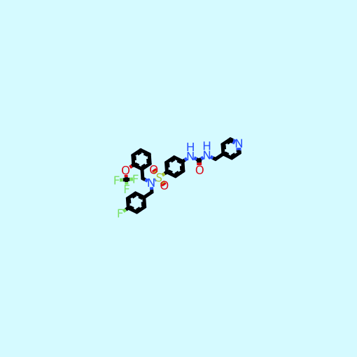 O=C(NCc1ccncc1)Nc1ccc(S(=O)(=O)N(Cc2ccc(F)cc2)Cc2ccccc2OC(F)(F)F)cc1